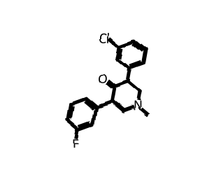 CN1CC(c2cccc(F)c2)C(=O)C(c2cccc(Cl)c2)C1